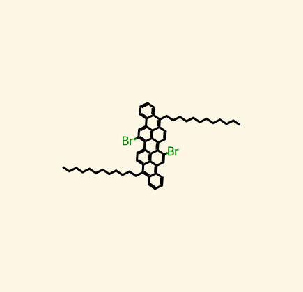 CCCCCCCCCCCCc1c2ccccc2c2cc(Br)c3c4ccc5c(CCCCCCCCCCCC)c6ccccc6c6cc(Br)c(c7ccc1c2c73)c4c56